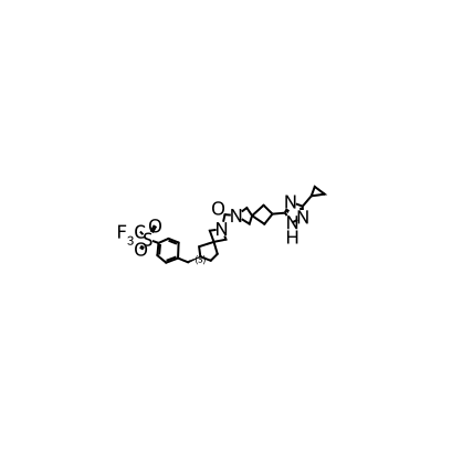 O=C(N1CC2(CC(c3nc(C4CC4)n[nH]3)C2)C1)N1CC2(CC[C@@H](Cc3ccc(S(=O)(=O)C(F)(F)F)cc3)C2)C1